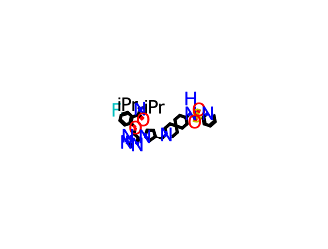 CC(C)N(C(=O)c1cc(F)ccc1Oc1nncnc1N1CC[C@@H](CN2CCC3(CCC(NS(=O)(=O)c4ccccn4)CC3)CC2)C1)C(C)C